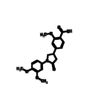 COc1ccc(N2CC(c3ccc(C(=O)O)c(OC)c3)CC2=O)cc1OC